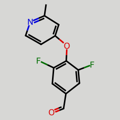 Cc1cc(Oc2c(F)cc(C=O)cc2F)ccn1